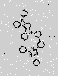 c1ccc(-c2nc(-c3ccccc3)nc(-c3cccc(-c4cccc(-n5c6ccccc6c6c7c8ccccc8n(-c8ccccc8)c7ccc65)c4)c3)n2)cc1